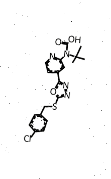 CC(C)(C)N(C(=O)O)c1cc(-c2nnc(SCc3ccc(Cl)cc3)o2)ccn1